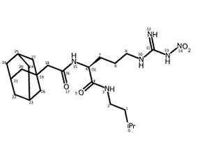 CC(C)CCNC(=O)[C@H](CCCNC(=N)N[N+](=O)[O-])NC(=O)CC12CC3CC(CC(C3)C1)C2